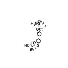 CC(C)CC(Sc1ccc(-c2ccc(S(=O)(=O)CC[Si](C)(C)C)cc2)cc1)C(=O)NCC#N